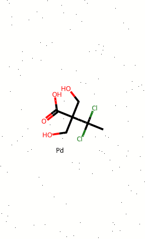 CC(Cl)(Cl)C(CO)(CO)C(=O)O.[Pd]